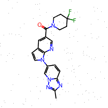 Cc1nc2ccc(-n3ccc4cc(C(=O)N5CCC(F)(F)CC5)cnc43)cn2n1